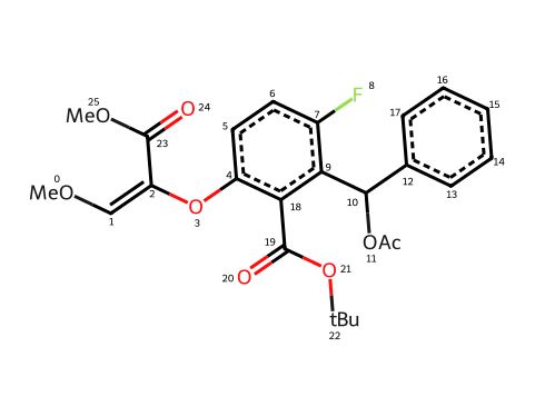 COC=C(Oc1ccc(F)c(C(OC(C)=O)c2ccccc2)c1C(=O)OC(C)(C)C)C(=O)OC